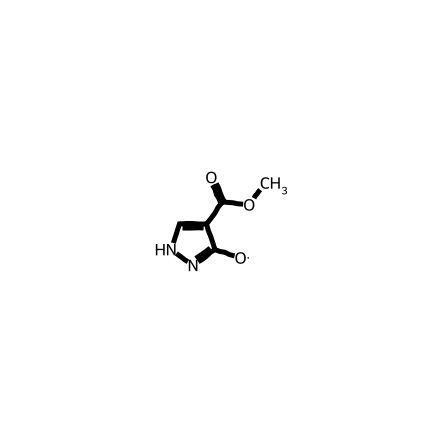 COC(=O)c1c[nH]nc1[O]